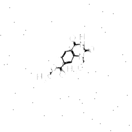 CCn1c(=O)[nH]c(=O)c2ccc(C(=O)OC)cc21